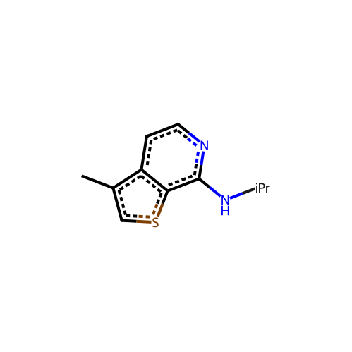 Cc1csc2c(NC(C)C)nccc12